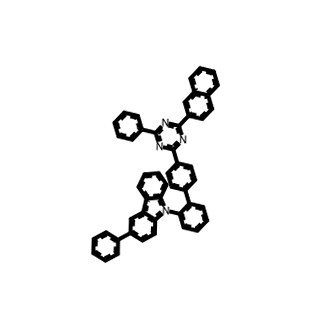 c1ccc(-c2ccc3c(c2)c2ccccc2n3-c2ccccc2-c2ccc(-c3nc(-c4ccccc4)nc(-c4ccc5ccccc5c4)n3)cc2)cc1